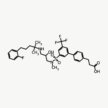 CN(CC(O)CNC(C)(C)CCCc1ccccc1F)S(=O)(=O)c1cc(-c2ccc(CCC(=O)O)cc2)cc(C(F)(F)F)c1